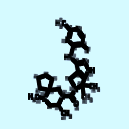 Cc1ncc(F)c(Nc2n[nH]c3c2CN(C(=O)N2CC4(CCCC4)N(C)C[C@@H]2C)C3(C)C)n1